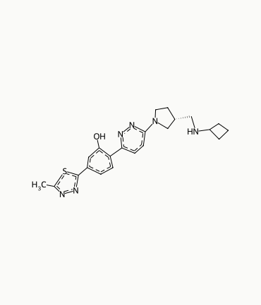 Cc1nnc(-c2ccc(-c3ccc(N4CC[C@H](CNC5CCC5)C4)nn3)c(O)c2)s1